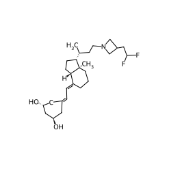 CC(CCN1CC(CC(F)F)C1)[C@H]1CC[C@H]2C(=CC=C3C[C@@H](O)C[C@H](O)C3)CCC[C@]12C